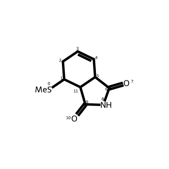 CSC1CC=CC2C(=O)NC(=O)C12